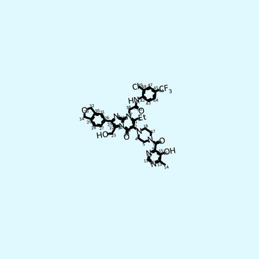 CCc1c(N2CCN(C(=O)c3ncnc(C)c3O)CC2)c(=O)n2c(CO)c(-c3ccc4c(c3)COC4)nc2n1CC(=O)Nc1ccc(C(F)(F)F)cc1Cl